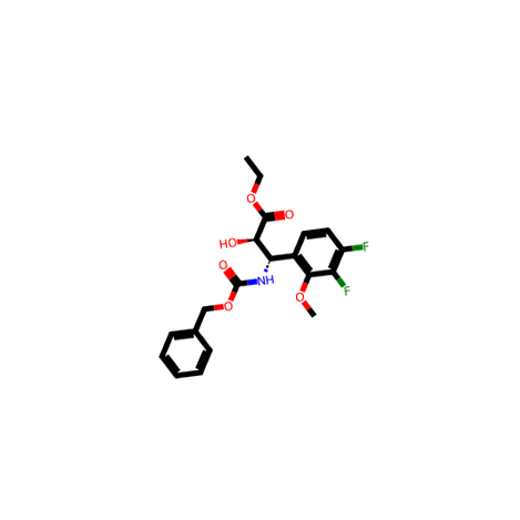 CCOC(=O)[C@H](O)[C@@H](NC(=O)OCc1ccccc1)c1ccc(F)c(F)c1OC